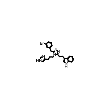 Brc1cccc(Cc2nnc(CCc3c[nH]c4ccccc34)n2CCCc2c[nH]cn2)c1